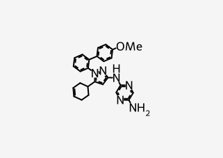 COc1ccc(-c2ccccc2-n2nc(Nc3cnc(N)cn3)cc2C2CC=CCC2)cc1